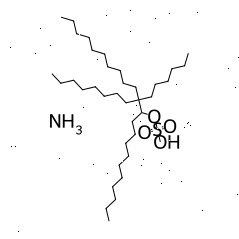 CCCCCCCCCCC(OS(=O)(=O)O)C(CCCCCC)(CCCCCCCC)CCCCCCCCCC.N